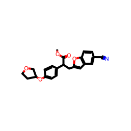 COC(=O)C(Cc1cc2cc(C#N)ccc2o1)c1ccc(OC2CCOC2)cc1